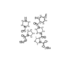 CC(C)(C)OC(=O)N1CCC[C@H]1C(=O)N1CCN(C(=O)c2ccc(F)cc2F)CC1.CC(C)(C)OC(=O)N1CCC[C@H]1C(=O)N1CCNCC1